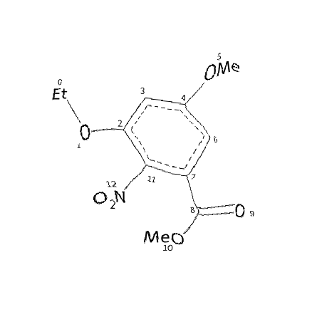 CCOc1cc(OC)cc(C(=O)OC)c1[N+](=O)[O-]